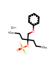 CCCCCCCCCCCCC(CCCCCCCCCCCC)(COc1ccccc1)OP(=O)([S-])[S-].[Zn+2]